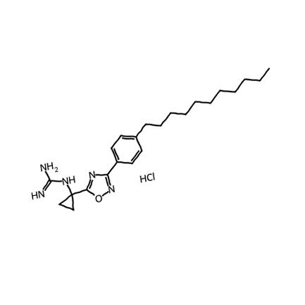 CCCCCCCCCCCc1ccc(-c2noc(C3(NC(=N)N)CC3)n2)cc1.Cl